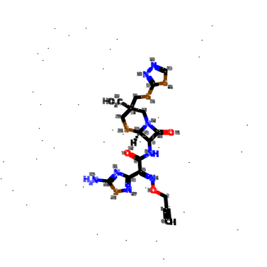 C#CCON=C(C(=O)NC1C(=O)N2CC(CSc3nncs3)(C(=O)O)CS[C@H]12)c1nsc(N)n1